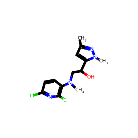 Cc1cc(C(O)CN(C)c2ccc(Cl)nc2Cl)n(C)n1